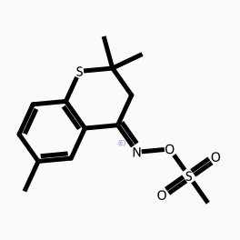 Cc1ccc2c(c1)/C(=N/OS(C)(=O)=O)CC(C)(C)S2